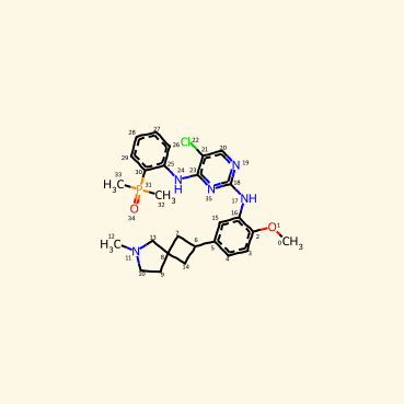 COc1ccc(C2CC3(CCN(C)C3)C2)cc1Nc1ncc(Cl)c(Nc2ccccc2P(C)(C)=O)n1